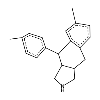 Cc1ccc(C2c3cc(C)ccc3CC3CNCC32)cc1